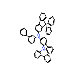 c1ccc(-c2cccc(N(c3ccc4c(c3)C(c3ccccc3)(c3ccccc3)c3ccccc3-4)c3ccc4c5ccccc5n(-c5ccccc5-c5ccccc5)c4c3)c2)cc1